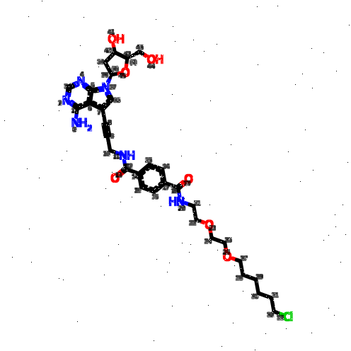 Nc1ncnc2c1c(C#CCNC(=O)c1ccc(C(=O)NCCOCCOCCCCCCCl)cc1)cn2[C@H]1CC(O)[C@@H](CO)O1